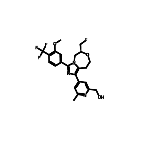 COc1cc(-c2nc(-c3cc(C)nc(CO)c3)c3n2C[C@@H](CF)OCC3)ccc1C(F)(F)F